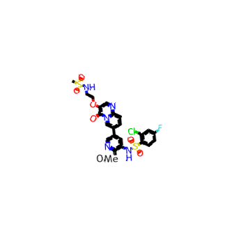 COc1ncc(-c2ccc3ncc(OCCNS(C)(=O)=O)c(=O)n3c2)cc1NS(=O)(=O)c1ccc(F)cc1Cl